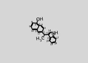 CC(c1ccc2c(O)cccc2c1)c1c[nH]c2ccccc12